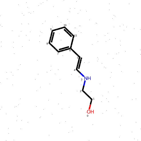 OCCNC=Cc1ccccc1